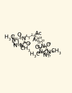 CC(=O)C(CCCn1c(=O)c2c(ncn2C)n(C)c1=O)(CCCn1c(=O)c2c(ncn2C)n(C)c1=O)C(C)=O